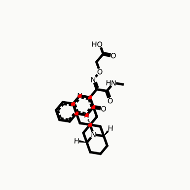 CNC(=O)C(=NOCC(=O)O)c1nc2ccccc2n([C@H]2C[C@H]3CCC[C@@H](C2)N3C2CC3CCCC(C3)C2)c1=O